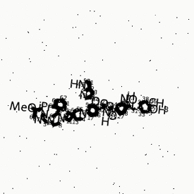 COc1cnc(CN2CCN(C3CC4(CCN(c5ccc(C(=O)NS(=O)(=O)c6ccc(NC[C@H]7CC[C@](C)(O)CC7)c([N+](=O)[O-])c6)c(Oc6cnc7[nH]ccc7c6)c5)CC4)C3)C(c3ccccc3C(C)C)C2)nc1